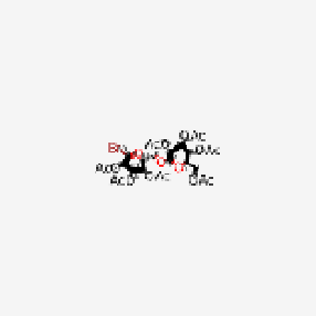 CC(=O)OC[C@H]1O[C@H](OC[C@H]2O[C@H](Br)[C@@H](OC(C)=O)[C@@H](OC(C)=O)[C@@H]2OC(C)=O)[C@@H](OC(C)=O)[C@@H](OC(C)=O)[C@@H]1OC(C)=O